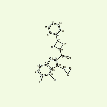 Cc1nnc2sc(C(=O)N3CC(c4ccccc4)C3)c(C3CC3)c2c1C